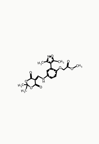 COC(=O)COc1ccc(NC=C2C(=O)OC(C)(C)OC2=O)cc1-c1c(C)noc1C